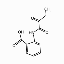 CCC(=O)C(=O)Nc1ccccc1C(=O)O